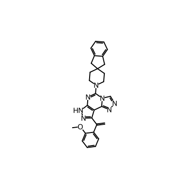 C=C(c1ccccc1OC)c1n[nH]c2nc(N3CCC4(CC3)Cc3ccccc3C4)n3cnnc3c12